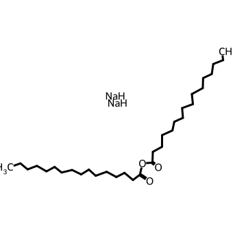 CCCCCCCCCCCCCCCC(=O)OC(=O)CCCCCCCCCCCCCCC.[NaH].[NaH]